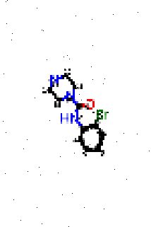 O=C(Nc1ccccc1Br)N1CC[N]CC1